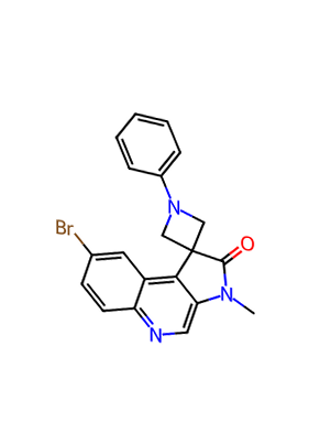 CN1C(=O)C2(CN(c3ccccc3)C2)c2c1cnc1ccc(Br)cc21